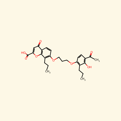 CCCc1c(OCCCOc2ccc3c(=O)cc(C(=O)O)oc3c2CCC)ccc(C(C)=O)c1O